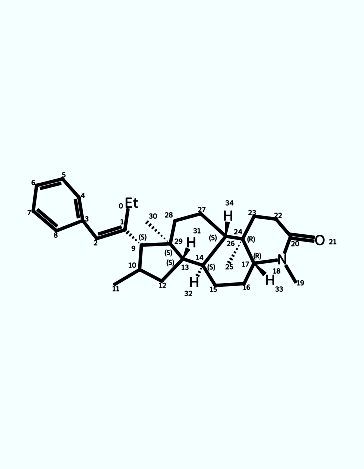 CCC(=Cc1ccccc1)[C@H]1C(C)C[C@H]2[C@@H]3CC[C@H]4N(C)C(=O)CC[C@]4(C)[C@H]3CC[C@]12C